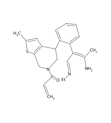 C=CC(=O)N1Cc2sc(C)cc2C(c2ccccc2C(/C=N/CC)=C(\C)N)C1